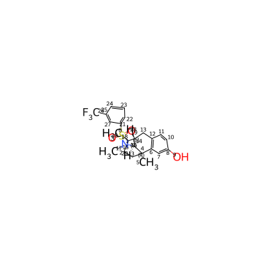 CC1CC[C@]2(C)c3cc(O)ccc3C[C@@H]1[C@@H]2N(C)S(=O)(=O)c1cccc(C(F)(F)F)c1